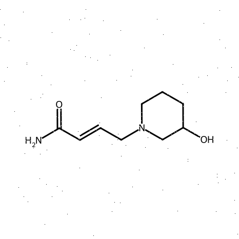 NC(=O)C=CCN1CCCC(O)C1